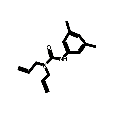 C=CCN(CC=C)C(=O)Nc1cc(C)cc(C)c1